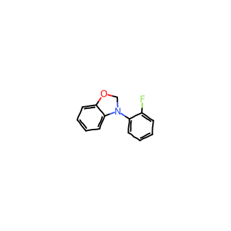 Fc1ccccc1N1COc2ccccc21